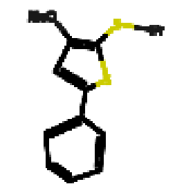 COc1cc(-c2ccccc2)sc1SC(C)C